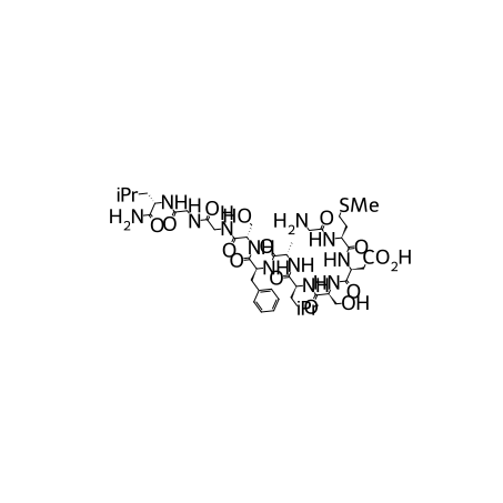 CSCC[C@H](NC(=O)CN)C(=O)N[C@@H](CC(=O)O)C(=O)N[C@@H](CO)C(=O)N[C@@H](CC(C)C)C(=O)N[C@@H](C)C(=O)N[C@@H](Cc1ccccc1)C(=O)N[C@@H](CO)C(=O)NCC(=O)NCC(=O)N[C@@H](CC(C)C)C(N)=O